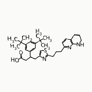 CC(C)(C)c1cc(C(CC(=O)O)Cc2csc(CCCc3ccc4c(n3)NCCC4)n2)cc(C(C)(C)C)c1